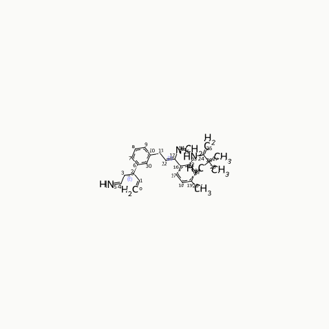 C=C/C(=C\C=N)c1cccc(C/C=C(\N=C)c2ccc(C)cc2NC(=C)C(C)(C)C)c1